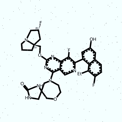 CCc1c(F)ccc2cc(O)cc(-c3ncc4c(N5CCOCC6(CNC(=O)N6)C5)nc(OC[C@@]56CCCN5C[C@H](F)C6)nc4c3F)c12